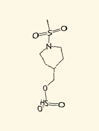 CS(=O)(=O)N1CCC(CO[SH](=O)=O)CC1